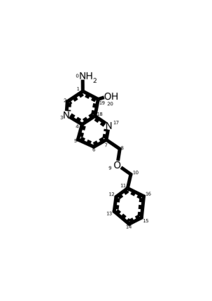 Nc1cnc2ccc(COCc3ccccc3)nc2c1O